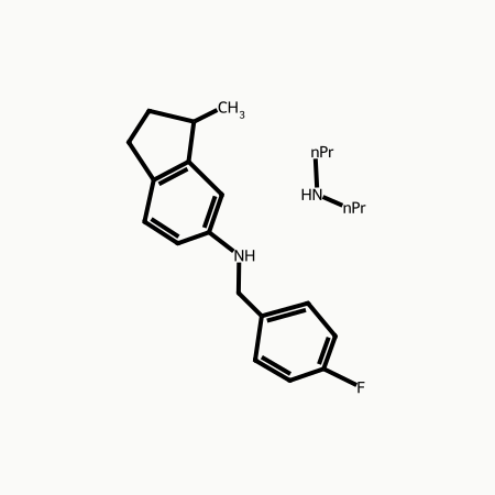 CC1CCc2ccc(NCc3ccc(F)cc3)cc21.CCCNCCC